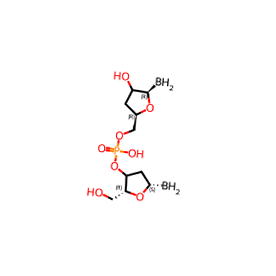 B[C@H]1CC(OP(=O)(O)OC[C@H]2CC(O)[C@@H](B)O2)[C@@H](CO)O1